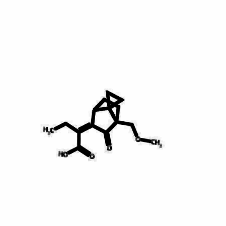 CC/C(C(=O)O)=C1/C(=O)C2(COC)CCC1C21CC1